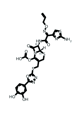 C=CCON=C(C(=O)N[C@@H]1C(=O)N2C(OC(=O)O)=C(CSc3nnc(-c4ccc(O)c(O)c4)o3)CS[C@@H]12)c1csc(N)n1